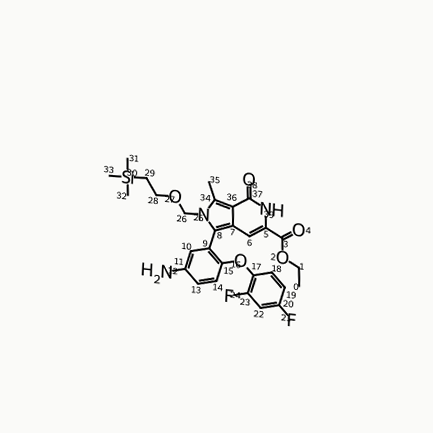 CCOC(=O)c1cc2c(-c3cc(N)ccc3Oc3ccc(F)cc3F)n(COCC[Si](C)(C)C)c(C)c2c(=O)[nH]1